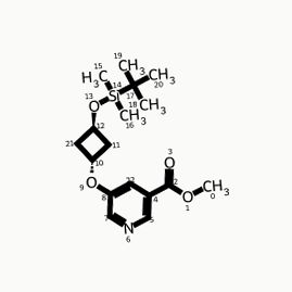 COC(=O)c1cncc(O[C@H]2C[C@H](O[Si](C)(C)C(C)(C)C)C2)c1